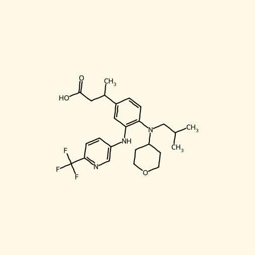 CC(C)CN(c1ccc(C(C)CC(=O)O)cc1Nc1ccc(C(F)(F)F)nc1)C1CCOCC1